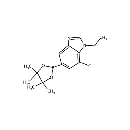 CCn1cnc2cc(B3OC(C)(C)C(C)(C)O3)cc(F)c21